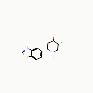 C[C@H]1CN[C@H](c2ccc3scnc3c2)CC1O